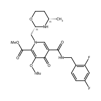 CCCCOc1c(C(=O)OC)n(C[C@H]2N[C@@H](C)CCO2)cc(C(=O)NCc2ccc(F)cc2F)c1=O